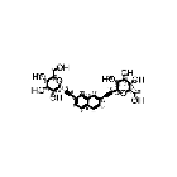 OC[C@H]1O[C@H](C#Cc2ccc3ccc(C#CC4O[C@H](CO)[C@@H](O)[C@H](O)[C@@H]4O)cc3c2)[C@@H](O)[C@@H](O)[C@@H]1O